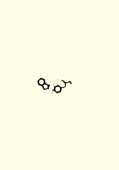 O=C(O)C1=CN=c2c(ccc3nc4c(nc23)=c2ccccc2=C4)C1